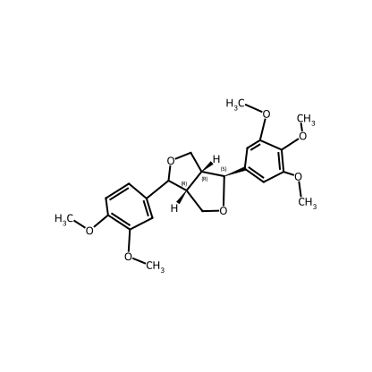 COc1ccc(C2OC[C@@H]3[C@@H](c4cc(OC)c(OC)c(OC)c4)OC[C@H]23)cc1OC